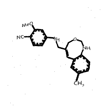 COc1cc(NC/C2=C/c3cc(C)ccc3NCOC2)ccc1C#N